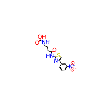 O=C(O)NCCCC(=O)Nc1nc(-c2cccc([N+](=O)[O-])c2)cs1